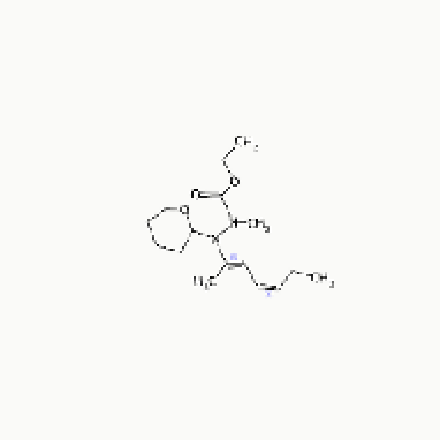 CC/C=C\C=C(/C)N(C1CCCCO1)N(C)C(=O)OCC